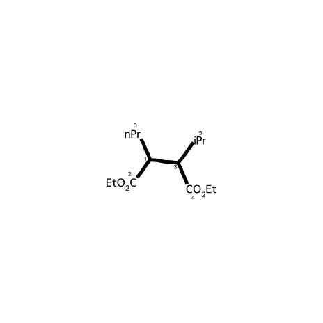 CCCC(C(=O)OCC)C(C(=O)OCC)C(C)C